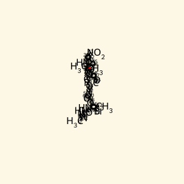 Cc1cnc(NC(=O)Nc2cc(Br)c(C)cc2OC[C@@H]2CN(CCOCCOCCN(CC(C)(C)C3Nc4ccc([N+](=O)[O-])cc4C4CCCC43)C(=O)c3ccc(OC(F)(F)F)cc3)CCO2)cn1